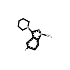 Cn1nc(N2CCCCC2)c2cc(F)ccc21